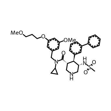 COCCCOc1cc(CN(C(=O)[C@H]2CNC[C@@H](NS(C)(=O)=O)[C@@H]2c2cccc(-c3ccccc3)c2)C2CC2)cc(OC)c1